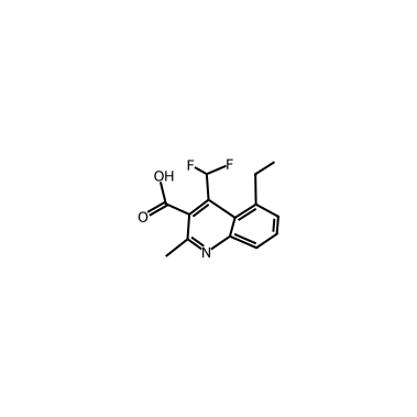 CCc1cccc2nc(C)c(C(=O)O)c(C(F)F)c12